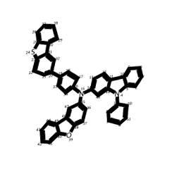 c1ccc(-n2c3ccccc3c3ccc(N(c4ccc(-c5ccc6sc7ccccc7c6c5)cc4)c4ccc5oc6ccccc6c5c4)cc32)cc1